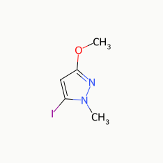 COc1cc(I)n(C)n1